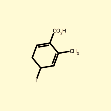 CC1=CC(I)CC=C1C(=O)O